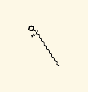 CCCCCCCCCCCCCCCCCC(=[N+]=[N-])Oc1ccccc1